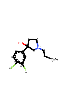 COCCN1CCC(O)(c2ccc(F)c(F)c2)C1